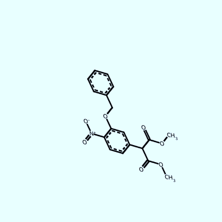 COC(=O)C(C(=O)OC)c1ccc([N+](=O)[O-])c(OCc2ccccc2)c1